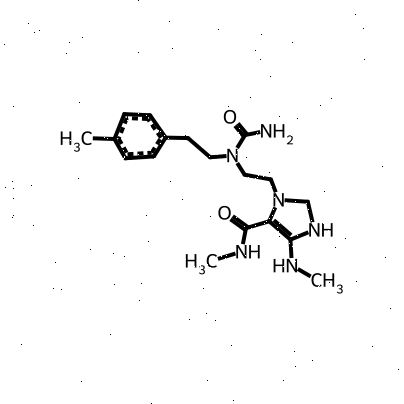 CNC(=O)C1=C(NC)NCN1CCN(CCc1ccc(C)cc1)C(N)=O